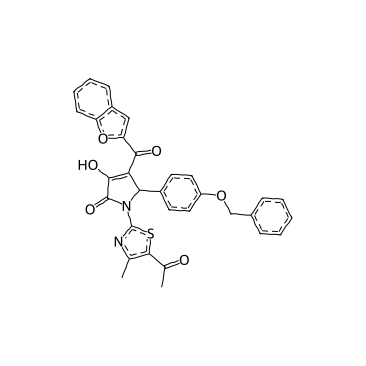 CC(=O)c1sc(N2C(=O)C(O)=C(C(=O)c3cc4ccccc4o3)C2c2ccc(OCc3ccccc3)cc2)nc1C